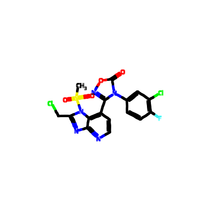 CS(=O)(=O)n1c(CCl)nc2nccc(-c3noc(=O)n3-c3ccc(F)c(Cl)c3)c21